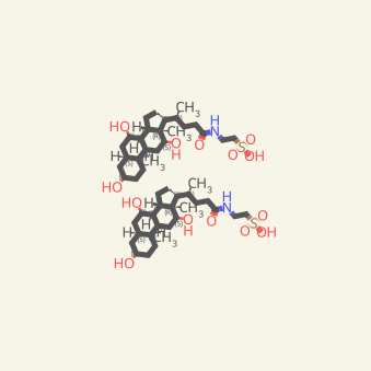 C[C@H](CCC(=O)NCCS(=O)(=O)O)[C@H]1CC[C@H]2[C@@H]3[C@H](O)C[C@@H]4C[C@H](O)CC[C@]4(C)[C@H]3C[C@H](O)[C@]12C.C[C@H](CCC(=O)NCCS(=O)(=O)O)[C@H]1CC[C@H]2[C@@H]3[C@H](O)C[C@@H]4C[C@H](O)CC[C@]4(C)[C@H]3C[C@H](O)[C@]12C